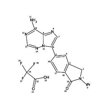 CC(C)N1Cc2cc(-c3cnc4c(N)ncnn34)ccc2C1=O.O=C(O)C(F)(F)F